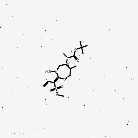 C=C/C(=C1/OCC(C)[C@H](N(C)C(=O)OC(C)(C)C)CN1N)S(=O)(=O)NC